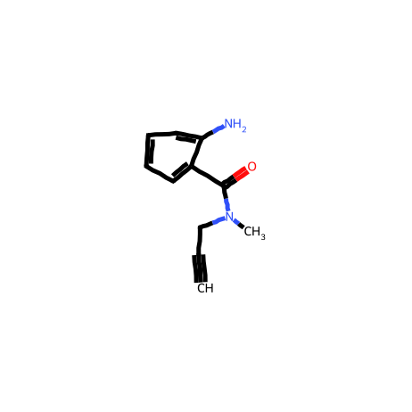 C#CCN(C)C(=O)c1ccccc1N